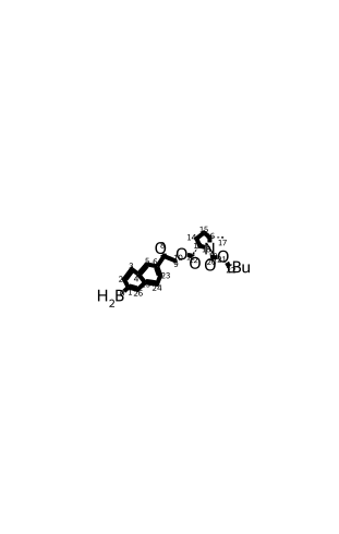 Bc1ccc2cc(C(=O)COC(=O)[C@@H]3CC[C@H](C)N3C(=O)OC(C)(C)C)ccc2c1